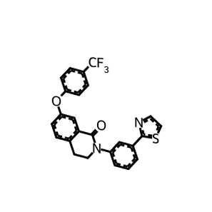 O=C1c2cc(Oc3ccc(C(F)(F)F)cc3)ccc2CCN1c1cccc(-c2nccs2)c1